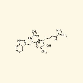 COC(O)C(CCCNC(N)N)NC(=O)C(Cc1c[nH]c2ccccc12)NC(C)=O